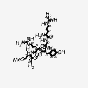 CSCC[C@@H](NC(=O)[C@H](CCCNC(=N)N)NC(=O)[C@H](Cc1ccc(O)cc1)NC(=O)CNC(=O)[C@@H](N)CCCNC(=N)N)C(N)=O